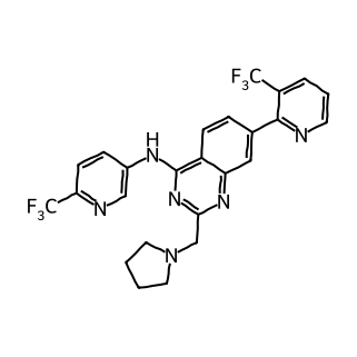 FC(F)(F)c1ccc(Nc2nc(CN3CCCC3)nc3cc(-c4ncccc4C(F)(F)F)ccc23)cn1